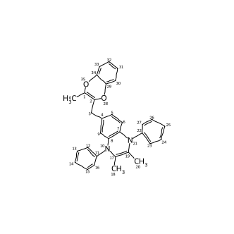 CC1=C(Cc2ccc3c(c2)N(c2ccccc2)C(C)=C(C)N3c2ccccc2)Oc2ccccc2O1